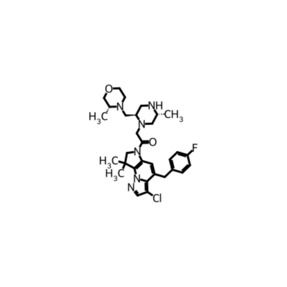 C[C@@H]1CN(CC(=O)N2CC(C)(C)c3c2cc(Cc2ccc(F)cc2)c2c(Cl)cnn32)[C@@H](CN2CCOC[C@H]2C)CN1